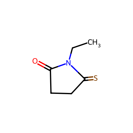 CCN1C(=O)CCC1=S